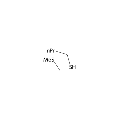 CCCCS.CSC